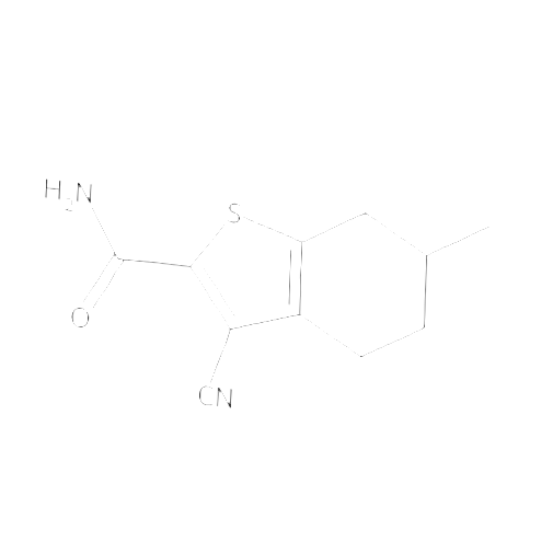 CC1CCc2c(sc(C(N)=O)c2C#N)C1